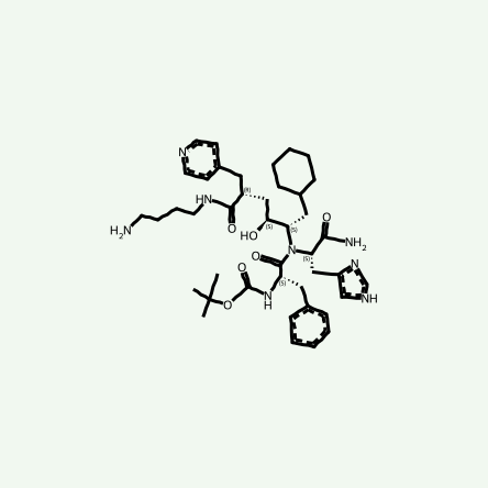 CC(C)(C)OC(=O)N[C@@H](Cc1ccccc1)C(=O)N([C@@H](Cc1c[nH]cn1)C(N)=O)[C@@H](CC1CCCCC1)[C@@H](O)C[C@@H](Cc1ccncc1)C(=O)NCCCCN